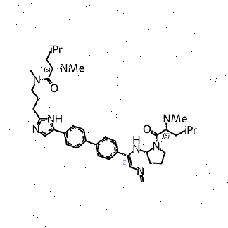 C=N/C=C(\NC1CCCN1C(=O)[C@H](CC(C)C)NC)c1ccc(-c2ccc(-c3cnc(CCCN(C)C(=O)[C@H](CC(C)C)NC)[nH]3)cc2)cc1